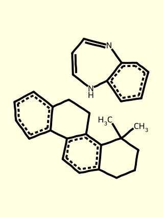 C1=CNc2ccccc2N=C1.CC1(C)CCCc2ccc3c(c21)CCc1ccccc1-3